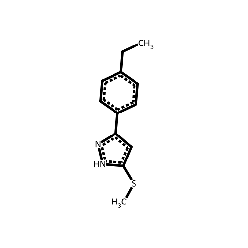 CCc1ccc(-c2cc(SC)[nH]n2)cc1